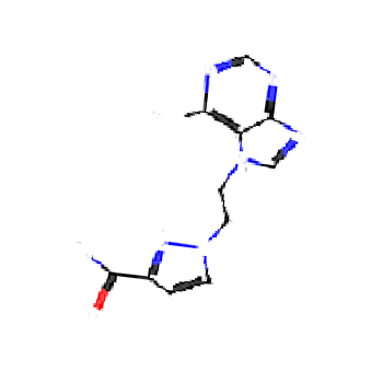 COc1ncnc2ncn(CCn3c[c]c(C(N)=O)n3)c12